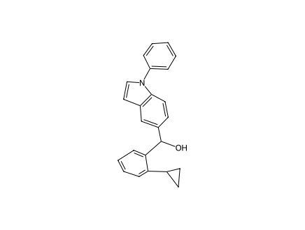 OC(c1ccc2c(ccn2-c2ccccc2)c1)c1ccccc1C1CC1